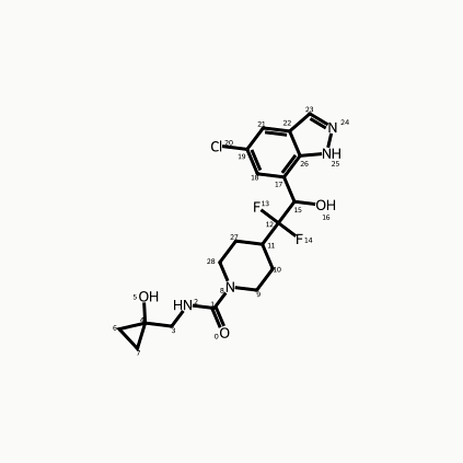 O=C(NCC1(O)CC1)N1CCC(C(F)(F)C(O)c2cc(Cl)cc3cn[nH]c23)CC1